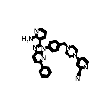 N#Cc1cc(N2CCN(Cc3ccc(-n4c(-c5cccnc5N)nc5ccc(-c6ccccc6)nc54)cc3)CC2)ccn1